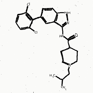 CC(C)CN1CCC(C(=O)Nc2n[nH]c3ccc(-c4c(Cl)cccc4Cl)cc23)CC1